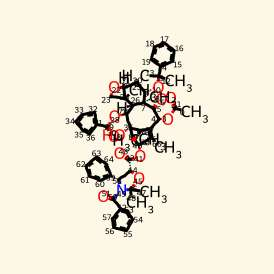 CC(=O)O[C@H]1C(=O)[C@]2(C)[C@@H](OC(C)(C)c3ccccc3)C[C@H]3OC[C@@]3(C)[C@H]2[C@H](OC(=O)c2ccccc2)[C@]2(O)C[C@H](OC(=O)[C@@H]3OC(C)(C)N(C(=O)c4ccccc4)[C@@H]3c3ccccc3)C(C)=C1C2(C)C